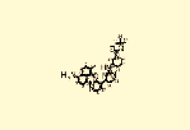 Cc1ccc2c(N)cccc2c1Oc1nnccc1-c1ccnc(N[C@H]2CCCN(C(=O)OC(C)(C)C)C2)n1